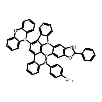 Cc1ccc(N2B3c4cc5c(cc4-n4c6ccccc6c6c(N7c8ccccc8Oc8ccccc87)cc(c3c64)-c3ccccc32)NC(c2ccccc2)O5)cc1